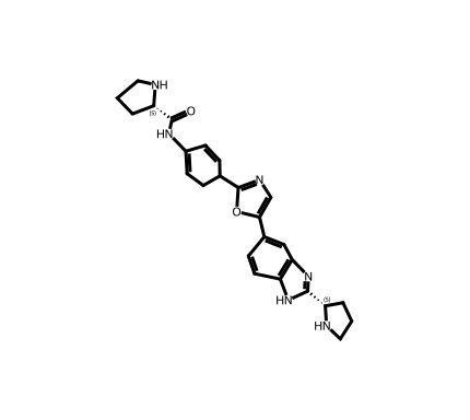 O=C(NC1=CCC(c2ncc(-c3ccc4[nH]c([C@@H]5CCCN5)nc4c3)o2)C=C1)[C@@H]1CCCN1